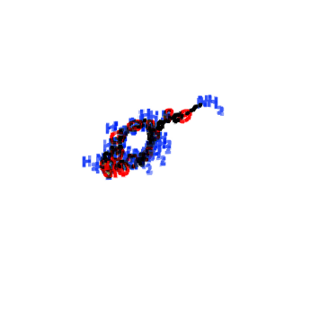 CC(N)C1NC(=O)[C@@H](NC(=O)c2ccc(-c3cc(-c4ccc(OCCCCN)cc4)on3)cc2)C[C@@H](N)[C@@H](N)NC(=O)C2[C@@H](N)[C@@H](C)CN2C(=O)C(C(N)CC(N)=O)NC(=O)C([C@H](C)Cc2ccc(N)c(OS(=O)O)c2)NC(=O)C2CCCN2C1=O